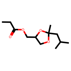 CCC(=O)OCC1COC(C)(CC(C)C)O1